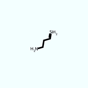 NCCC=[SiH2]